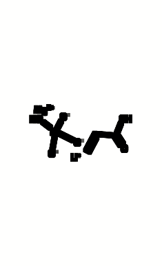 C=CC(=O)O.[Li+].[Mg+2].[O-][Si]([O-])([O-])O